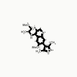 COC[C@H](C)Nc1c([N+](=O)[O-])cnc2cc(-c3c(C)noc3C)c(OC)cc12